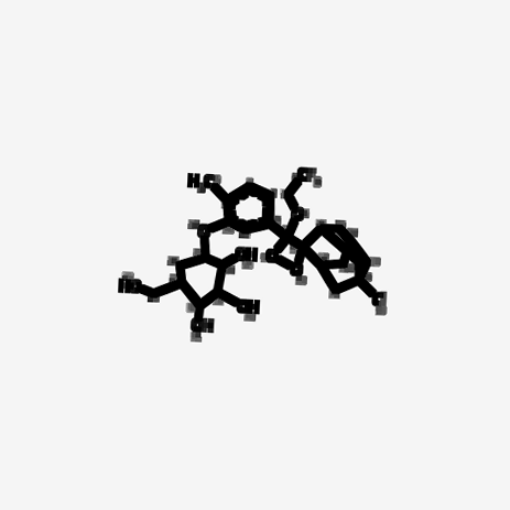 Cc1ccc(C2(OCC(F)(F)F)OOC23C2CC4CC3CC(Cl)(C4)C2)cc1OC1CC(CO)C(O)C(O)C1O